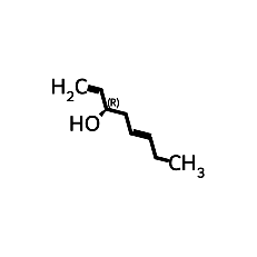 C=C[C@H](O)CC=CCC